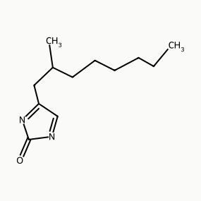 CCCCCCC(C)CC1=NC(=O)N=C1